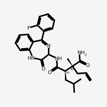 C=CC[C@@](C)(C(N)=O)[C@@H](CC(C)C)C(=O)NC1N=C(c2ccccc2F)c2ccccc2NC1=O